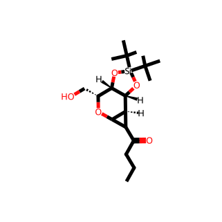 CCCC(=O)C1C2O[C@H](CO)[C@@H]3O[Si](C(C)(C)C)(C(C)(C)C)O[C@@H]3[C@H]21